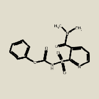 CN(C)C(=O)c1cccnc1S(=O)(=O)NC(=O)Oc1ccccc1